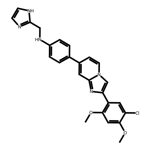 COc1cc(OC)c(-c2cn3ccc(-c4ccc(NCc5ncc[nH]5)cc4)cc3n2)cc1Cl